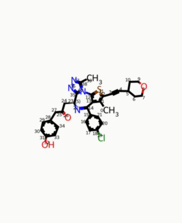 Cc1c(C#CC2CCOCC2)sc2c1C(c1ccc(Cl)cc1)=N[C@@H](CC(=O)Cc1ccc(O)cc1)c1nnc(C)n1-2